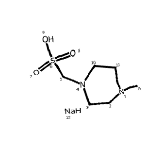 CN1CCN(CS(=O)(=O)O)CC1.[NaH]